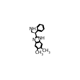 Cc1cc2nc([C@@H](CN)c3ccccc3)[nH]c2cc1C